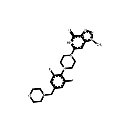 Cn1nnc2c(=O)[nH]c(N3CCN(c4c(F)cc(CN5CCOCC5)cc4F)CC3)cc21